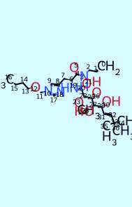 C=CCNC(=O)[C@H](Cc1cn(COCCCC)cn1)NC(=O)[C@H](OC)[C@H](O)[C@@H](O)[C@H](O)/C=C/C(C)(C)C